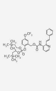 C[Si](C)(C)CCOP(=O)(OCC[Si](C)(C)C)Oc1ccc(OC(F)(F)F)cc1COC(=O)Nc1cccnc1C=Cc1ccccc1